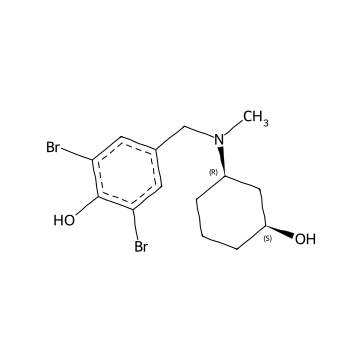 CN(Cc1cc(Br)c(O)c(Br)c1)[C@@H]1CCC[C@H](O)C1